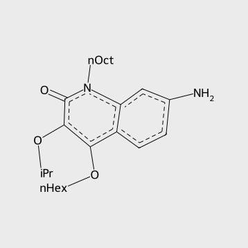 CCCCCCCCn1c(=O)c(OC(C)C)c(OCCCCCC)c2ccc(N)cc21